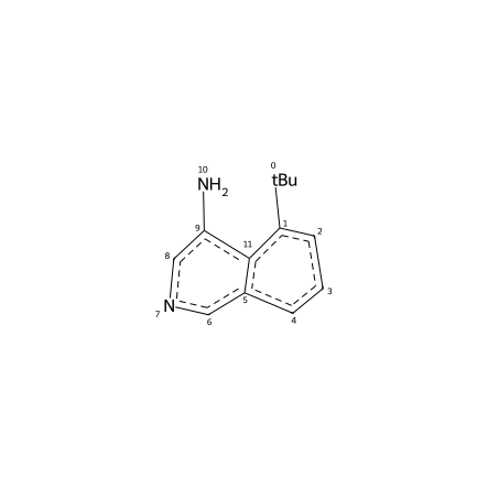 CC(C)(C)c1cccc2cncc(N)c12